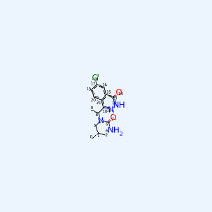 CC(C)CN(C(N)=O)C(C)c1n[nH]c(=O)c2cc(Cl)ccc12